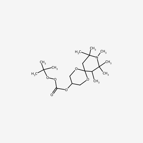 CC1C2(CC(C)(C)N(C)C1(C)C)OCC(OC(=O)OOC(C)(C)C)CO2